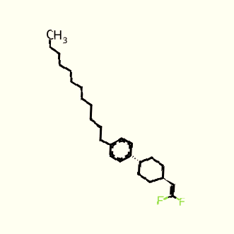 CCCCCCCCCCCCc1ccc([C@H]2CC[C@H](C=C(F)F)CC2)cc1